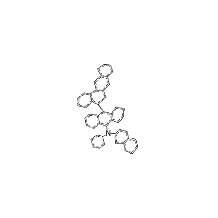 c1ccc(N(c2ccc3ccccc3c2)c2c3ccccc3c(-c3cc4cc5ccccc5cc4c4ccccc34)c3ccccc23)cc1